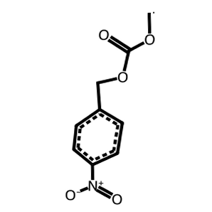 [CH2]OC(=O)OCc1ccc([N+](=O)[O-])cc1